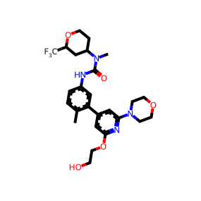 Cc1ccc(NC(=O)N(C)C2CCOC(C(F)(F)F)C2)cc1-c1cc(OCCO)nc(N2CCOCC2)c1